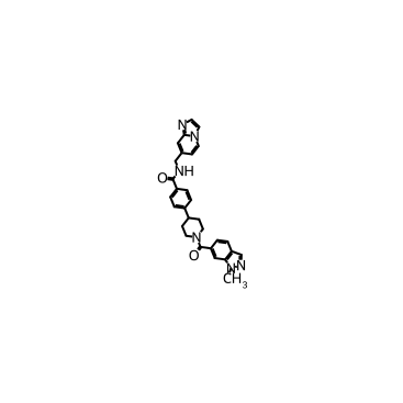 Cn1ncc2ccc(C(=O)N3CCC(c4ccc(C(=O)NCc5ccn6ccnc6c5)cc4)CC3)cc21